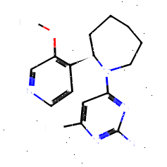 COc1cnccc1[C@H]1CCCCCN1c1cc(C)nc(N)n1